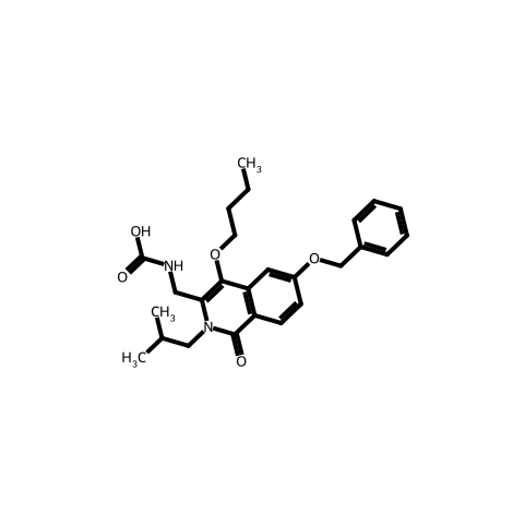 CCCCOc1c(CNC(=O)O)n(CC(C)C)c(=O)c2ccc(OCc3ccccc3)cc12